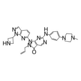 C=CCn1c(=O)c2cnc(Nc3ccc(N4CCN(C)CC4)cc3)nc2n1-c1ccc2cnn(C3CNC3)c2n1